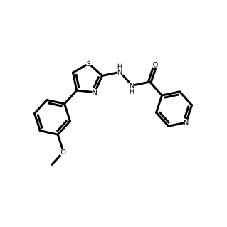 COc1cccc(-c2csc(NNC(=O)c3ccncc3)n2)c1